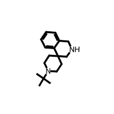 CC(C)(C)N1CCC2(CC1)CNCc1ccccc12